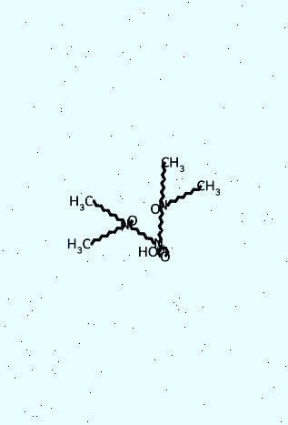 CCCCCCCCCCN(CCCCCCCCCC)C(=O)CCCCCCCN(CCCCCCCC(=O)N(CCCCCCCCCC)CCCCCCCCCC)[C@@H]1CCOC[C@@H]1O